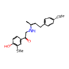 COc1ccc(CCC(C)NCC(=O)c2ccc(O)c(SC)c2)cc1